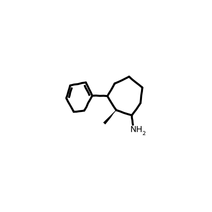 C[C@@H]1C(N)CCCCC1C1=CC=CCC1